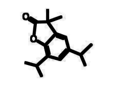 CC(C)c1cc(C(C)C)c2c(c1)C(C)(C)C(=O)O2